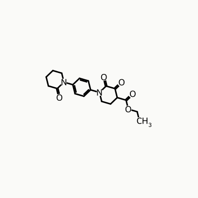 CCOC(=O)C1CCN(c2ccc(N3CCCCC3=O)cc2)C(=O)C1=O